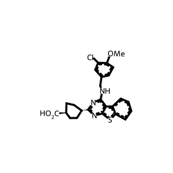 COc1ccc(CNc2nc([C@H]3CC[C@H](C(=O)O)CC3)nc3sc4ccccc4c23)cc1Cl